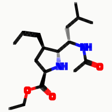 C/C=C\[C@@H]1C[C@H](C(=O)OCC)N[C@H]1[C@H](CC(C)C)NC(C)=O